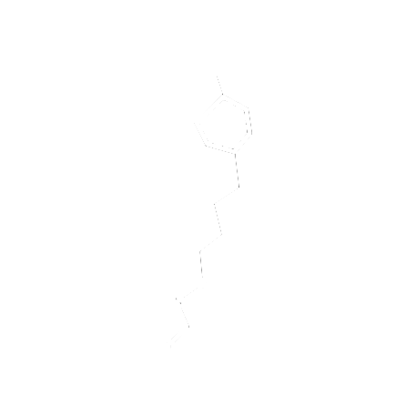 O=CNOCCCCc1ccc(F)cc1